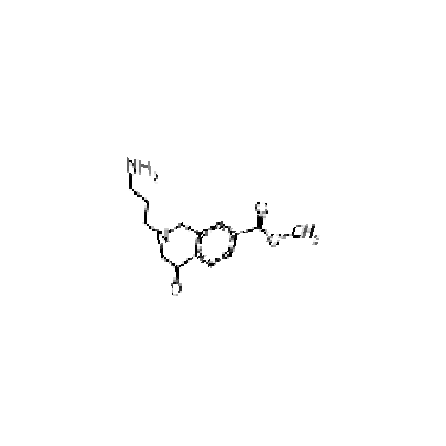 COC(=O)c1ccc2c(c1)CN(CCCN)CC2=O